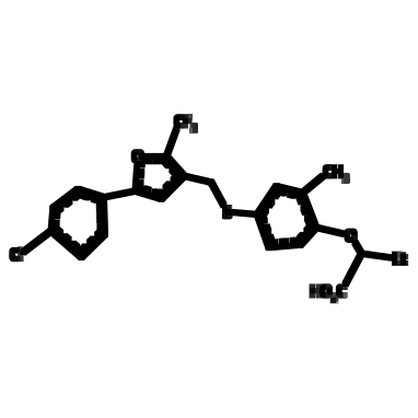 CCC(Oc1ccc(SCc2cc(-c3ccc(Cl)cc3)oc2C(F)(F)F)cc1C)C(=O)O